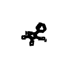 O=[N+]([O-])c1c(-c2ccccc2)[nH]c(Cl)c1Cl